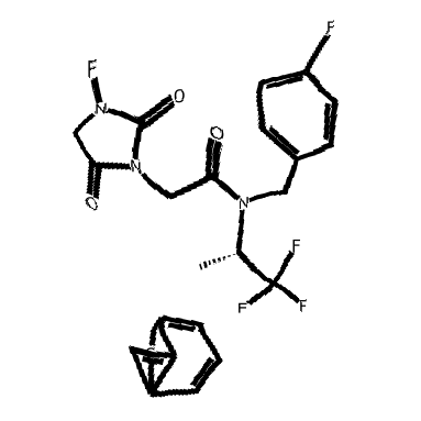 C1=CC23C=C2C(=C1)C3.C[C@H](N(Cc1ccc(F)cc1)C(=O)CN1C(=O)CN(F)C1=O)C(F)(F)F